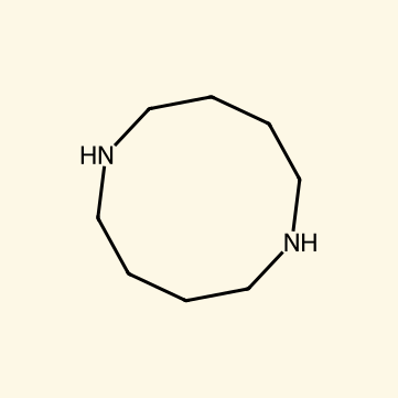 C1CCNCCCCNC1